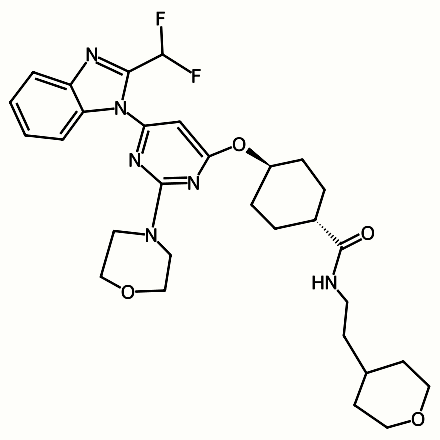 O=C(NCCC1CCOCC1)[C@H]1CC[C@H](Oc2cc(-n3c(C(F)F)nc4ccccc43)nc(N3CCOCC3)n2)CC1